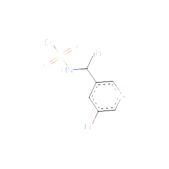 CCS(=O)(=O)NC(c1cncc(Br)c1)C(C)C